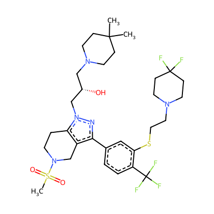 CC1(C)CCN(C[C@H](O)Cn2nc(-c3ccc(C(F)(F)F)c(SCCN4CCC(F)(F)CC4)c3)c3c2CCN(S(C)(=O)=O)C3)CC1